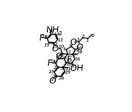 CCCC1OC2CC3(C(=O)COc4ccc(N)c(F)c4)C4CC(F)C5=CC(=O)C=CC5(C)C4(F)C(O)CC3(C)C2O1